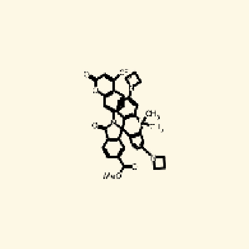 COC(=O)c1ccc2c(c1)C1(c3ccc(N4CCC4)cc3[Si](C)(C)c3cc(N4CCC4)ccc31)N(c1ccc3c(C(F)(F)F)cc(=O)oc3c1)C2=O